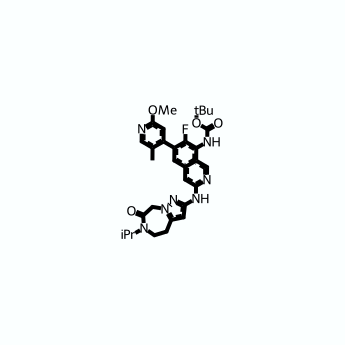 COc1cc(-c2cc3cc(Nc4cc5n(n4)CC(=O)N(C(C)C)CC5)ncc3c(NC(=O)OC(C)(C)C)c2F)c(C)cn1